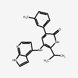 Cc1cccc(-c2cc(Nc3ccnc4[nH]ccc34)c(C(C)C)[nH]c2=O)c1